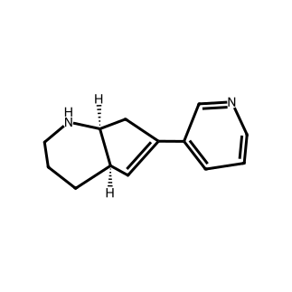 C1=C(c2cccnc2)C[C@@H]2NCCC[C@H]12